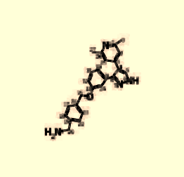 Cc1cc(-c2c[nH]nc2-c2cccc(OCc3ccc(CN)cc3)c2)cc(C)n1